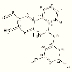 C=C(F)/C=C\C(=C/CC=O)c1cccnc1[C@@H](N)CC1=CC(F)=CC(F)C1